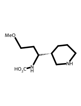 COCCC(NC(=O)O)[C@@H]1CCCNC1